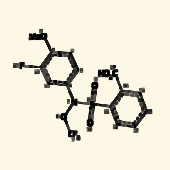 COc1ccc(N(OC(F)(F)F)S(=O)(=O)c2ccccc2C(=O)O)cc1F